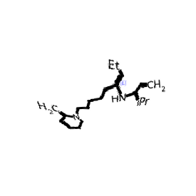 C=CC(N/C(=C/CC)CCCCCN1CCC=CC1=C)C(C)C